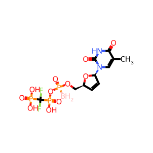 BP(=O)(OC[C@@H]1C=C[C@H](n2cc(C)c(=O)[nH]c2=O)O1)OP(=O)(O)C(F)(F)P(=O)(O)O